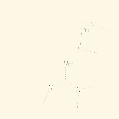 CCCC[SiH](OC)OC.CN(C)C(N)=[N+](C)C